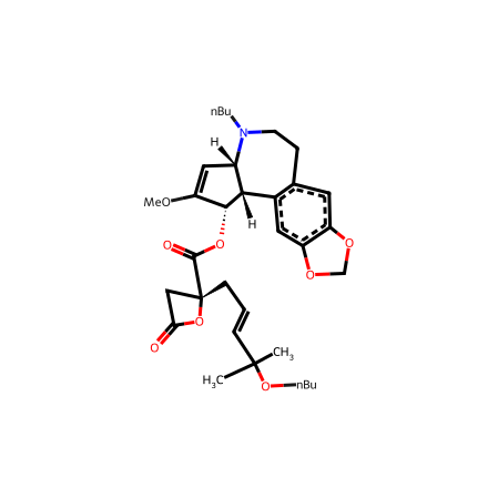 CCCCOC(C)(C)/C=C/C[C@]1(C(=O)O[C@@H]2C(OC)=C[C@H]3[C@@H]2c2cc4c(cc2CCN3CCCC)OCO4)CC(=O)O1